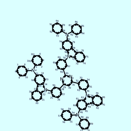 c1ccc(N(c2ccccc2)c2ccc3c(c2)c2ccccc2n3-c2cccc(-c3cc(-c4cccc(-n5c6ccccc6c6cc(N(c7ccccc7)c7ccccc7)ccc65)c4)nc(-c4cccc(-n5c6ccccc6c6cc(N(c7ccccc7)c7ccccc7)ccc65)c4)n3)c2)cc1